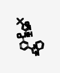 CC(C)(C)c1cc(NC(=O)c2cccc(-c3cnc4ccccn34)c2)no1